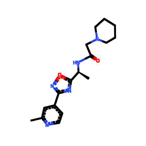 Cc1cc(-c2noc([C@H](C)NC(=O)CN3CCCCC3)n2)ccn1